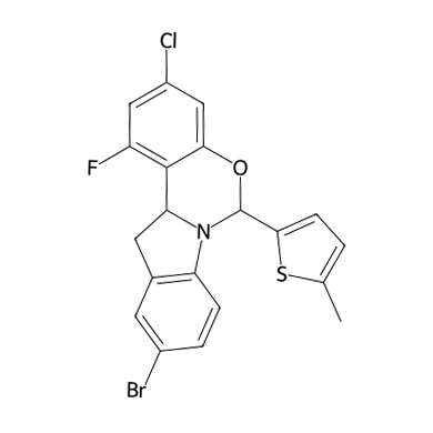 Cc1ccc(C2Oc3cc(Cl)cc(F)c3C3Cc4cc(Br)ccc4N32)s1